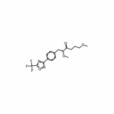 COCCCC(=O)N(Cc1ccc(-c2noc(C(F)(F)F)n2)cc1)OC